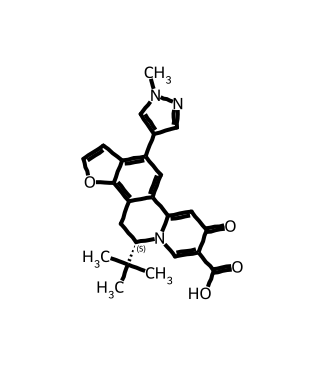 Cn1cc(-c2cc3c(c4occc24)C[C@@H](C(C)(C)C)n2cc(C(=O)O)c(=O)cc2-3)cn1